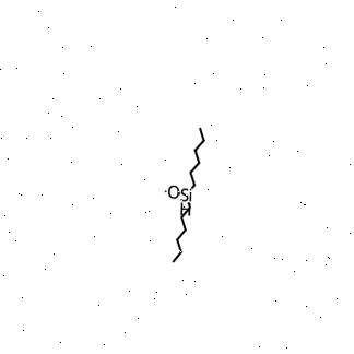 CCCCCC[SiH]([O])CCCCCC